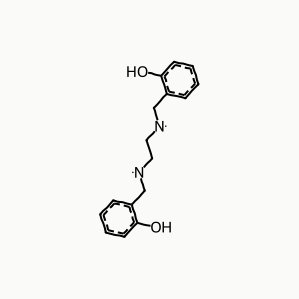 Oc1ccccc1C[N]CC[N]Cc1ccccc1O